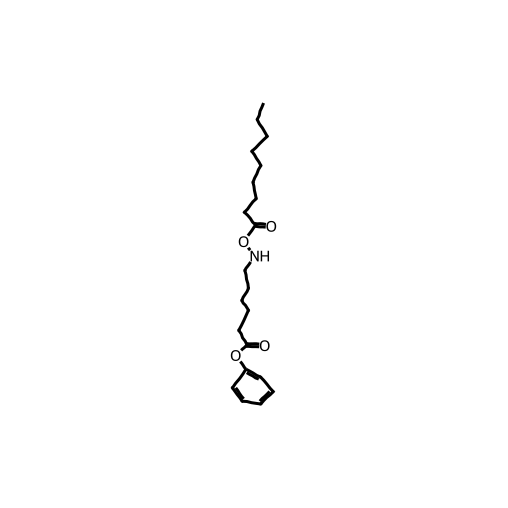 CCCCCCCCC(=O)ONCCCCCC(=O)Oc1ccccc1